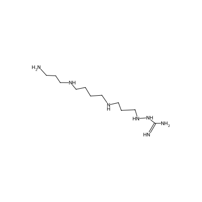 N=C(N)NNCCCNCCCCNCCCN